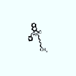 CCCCCCCCNC(=O)c1cc2ccccc2cc1OCc1ccccc1